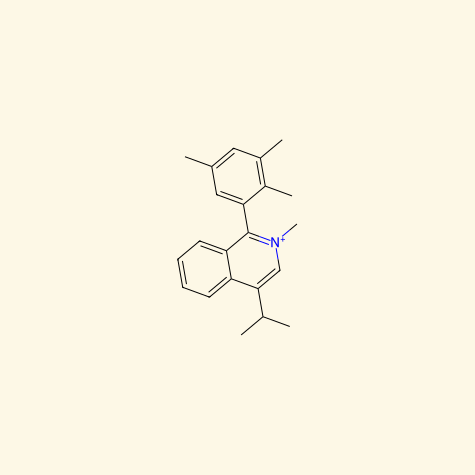 Cc1cc(C)c(C)c(-c2c3ccccc3c(C(C)C)c[n+]2C)c1